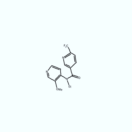 CCN(C(=O)c1ccc(C(F)(F)F)nc1)c1ccncc1OC